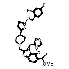 CCn1cncc1Cn1c(CN2CCC(c3ccn(OCc4ccc(F)cc4F)n3)CC2)nc2ccc(C(=O)OC)cc21